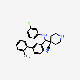 Cc1ccccc1-c1cccc(C(Nc2cccc(F)c2)C2(C#N)CCNCC2)c1